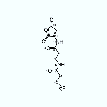 CC(=O)SCC(=O)NCCC(=O)NC1=CC(=O)OC1=O